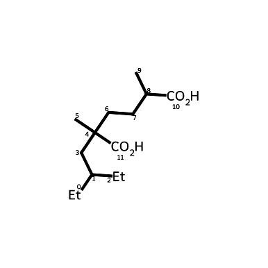 CCC(CC)CC(C)(CCC(C)C(=O)O)C(=O)O